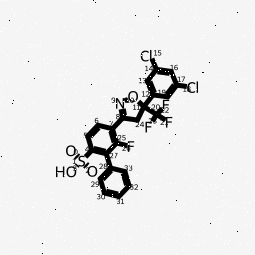 O=S(=O)(O)c1ccc(C2=NOC(c3cc(Cl)cc(Cl)c3)(C(F)(F)F)C2)c(F)c1-c1ccccc1